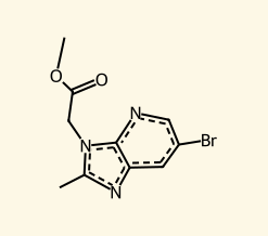 COC(=O)Cn1c(C)nc2cc(Br)cnc21